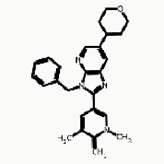 C=C1C(C)=CC(c2nc3cc(C4CCOCC4)cnc3n2Cc2ccccc2)=CN1C